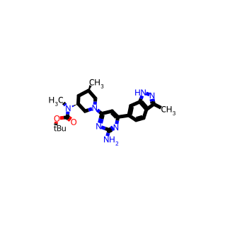 Cc1n[nH]c2cc(-c3cc(N4C[C@H](C)C[C@@H](N(C)C(=O)OC(C)(C)C)C4)nc(N)n3)ccc12